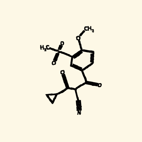 COc1ccc(C(=O)C(C#N)C(=O)C2CC2)cc1S(C)(=O)=O